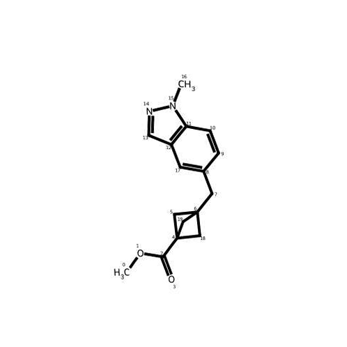 COC(=O)C12CC(Cc3ccc4c(cnn4C)c3)(C1)C2